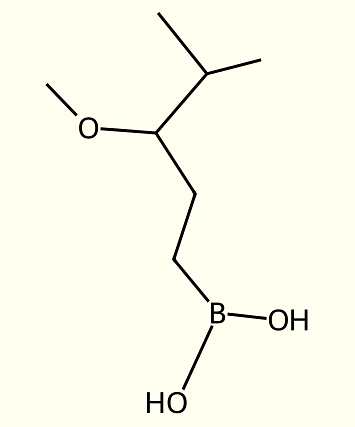 COC(CCB(O)O)C(C)C